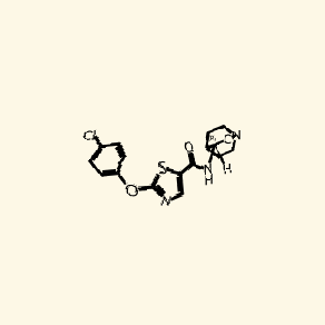 O=C(N[C@H]1CN2CCC1CC2)c1cnc(Oc2ccc(Cl)cc2)s1